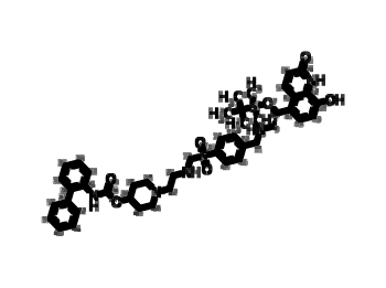 CC(C)(C)[Si](C)(C)O[C@@H](CNCc1ccc(S(=O)(=O)CNCCN2CCC(OC(=O)Nc3ccccc3-c3ccccc3)CC2)cc1)c1ccc(O)c2[nH]c(=O)ccc12